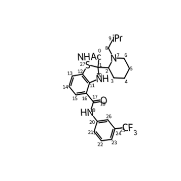 CC(=O)NC1(C2CCCCN2CC(C)C)Nc2c(cccc2C(=O)Nc2[c]ccc(C(F)(F)F)c2)S1